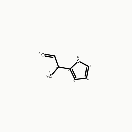 O=[C]C(S)c1cccs1